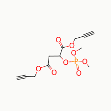 C#CCOC(=O)CC(OP(=O)(OC)OC)C(=O)OCC#C